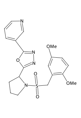 COc1ccc(OC)c(CS(=O)(=O)N2CCCC2c2nnc(-c3cccnc3)o2)c1